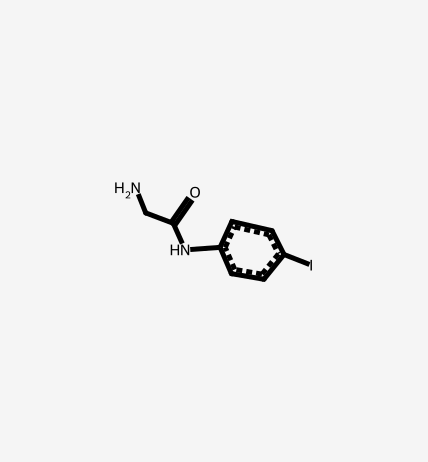 NCC(=O)Nc1ccc(I)cc1